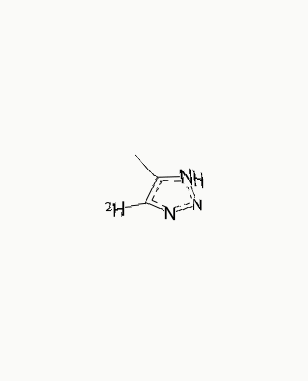 [2H]c1nn[nH]c1C